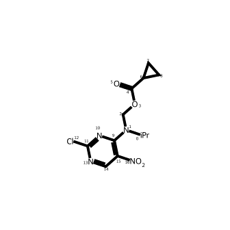 CC(C)N(COC(=O)C1CC1)c1nc(Cl)ncc1[N+](=O)[O-]